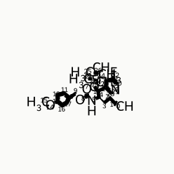 C#CCC[C@@H](NC(=O)OCc1ccc(OC)cc1)C(O[Si](C)(C)C(C)(C)C)c1cncc(F)c1